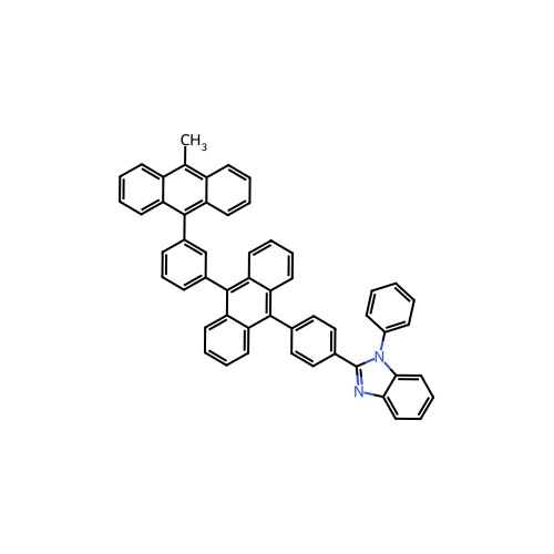 Cc1c2ccccc2c(-c2cccc(-c3c4ccccc4c(-c4ccc(-c5nc6ccccc6n5-c5ccccc5)cc4)c4ccccc34)c2)c2ccccc12